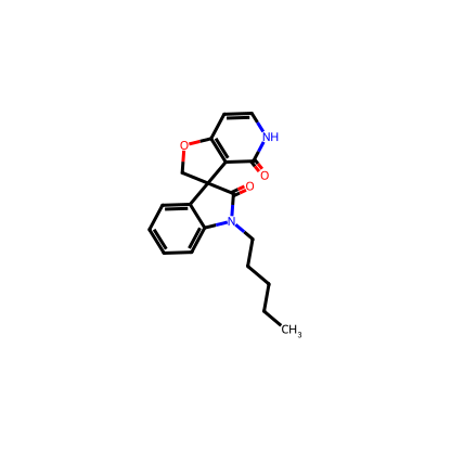 CCCCCN1C(=O)C2(COc3cc[nH]c(=O)c32)c2ccccc21